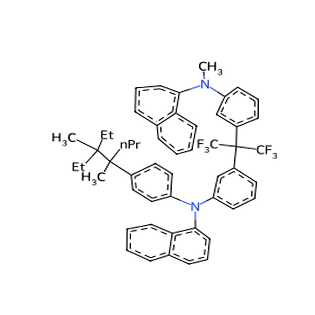 CCCC(C)(c1ccc(N(c2cccc(C(c3cccc(N(C)c4cccc5ccccc45)c3)(C(F)(F)F)C(F)(F)F)c2)c2cccc3ccccc23)cc1)C(C)(CC)CC